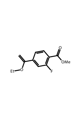 C=C(OCC)c1ccc(C(=O)OC)c(F)c1